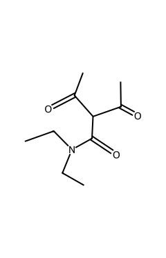 CCN(CC)C(=O)C(C(C)=O)C(C)=O